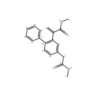 C=C(C(=O)OC)c1cc(CC(=O)OC)ccc1-c1ccccc1